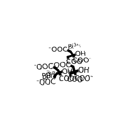 O=C([O-])CC(O)(CC(=O)[O-])C(=O)[O-].O=C([O-])CC(O)(CC(=O)[O-])C(=O)[O-].O=C([O-])CC(O)(CC(=O)[O-])C(=O)[O-].[Bi+3].[Bi+3].[Bi+3]